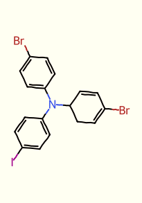 BrC1=CCC(N(c2ccc(Br)cc2)c2ccc(I)cc2)C=C1